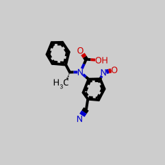 C[C@H](c1ccccc1)N(C(=O)O)c1cc(C#N)ccc1N=O